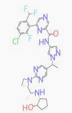 CC(c1cnc(N2CC[C@H]2[C@@H](C)N[C@@H]2CCC[C@H]2O)nc1)n1cc(NC(=O)c2cncc(-c3c(C(F)F)ccc(Cl)c3F)n2)cn1